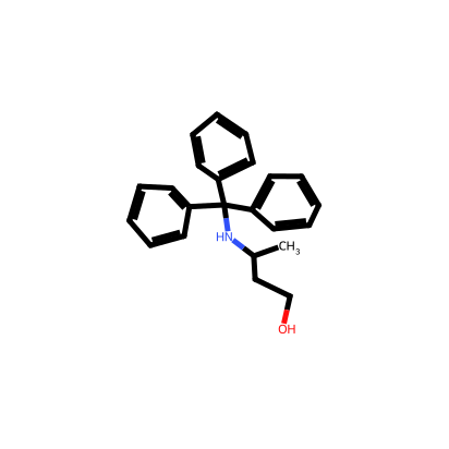 CC(CCO)NC(c1ccccc1)(c1ccccc1)c1ccccc1